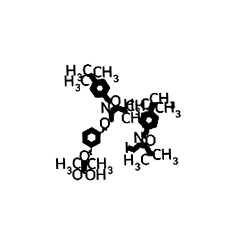 CC(C)c1oc(-c2ccc(C(C)(C)C)cc2)nc1CI.CC(C)c1oc(-c2ccc(C(C)(C)C)cc2)nc1COC[C@H]1CCC[C@@H](COC(C)(C)C(=O)O)C1